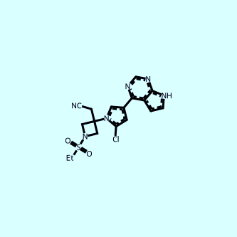 CCS(=O)(=O)N1CC(CC#N)(n2cc(-c3ncnc4[nH]ccc34)cc2Cl)C1